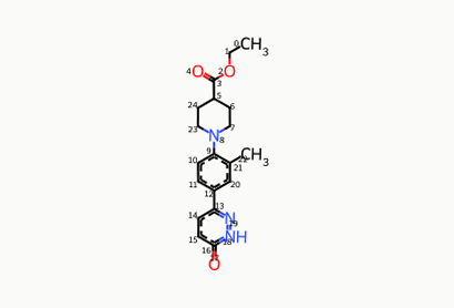 CCOC(=O)C1CCN(c2ccc(-c3ccc(=O)[nH]n3)cc2C)CC1